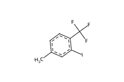 [CH2]c1ccc(C(F)(F)F)c(I)c1